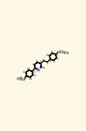 CCCCCCc1ccc(CCc2ccc(-c3ccc(CCCC)cc3)nc2)cc1